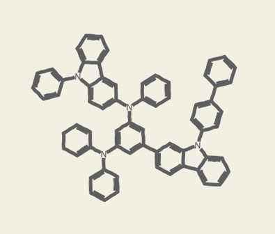 C1=CC(N(c2ccccc2)c2cc(-c3ccc4c5ccccc5n(-c5ccc(-c6ccccc6)cc5)c4c3)cc(N(c3ccccc3)c3ccc4c(c3)c3ccccc3n4-c3ccccc3)c2)=CCC1